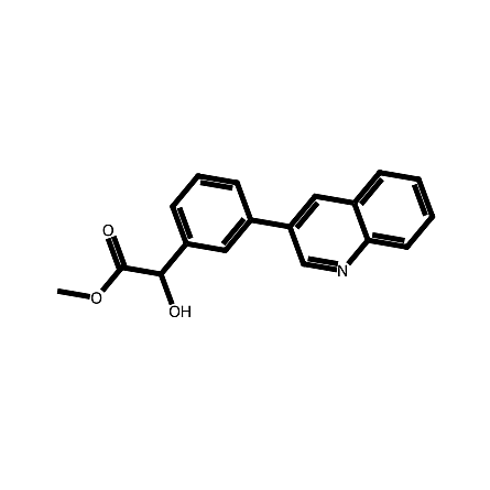 COC(=O)C(O)c1cccc(-c2cnc3ccccc3c2)c1